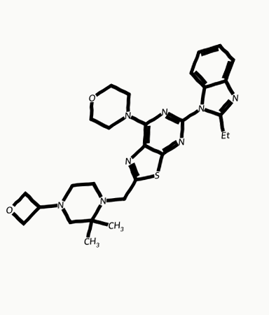 CCc1nc2ccccc2n1-c1nc(N2CCOCC2)c2nc(CN3CCN(C4COC4)CC3(C)C)sc2n1